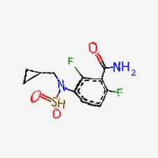 NC(=O)c1c(F)ccc(N(CC2CC2)[SH](=O)=O)c1F